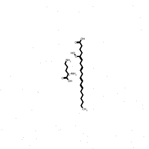 CCCCCCC=CC=CCC=CCC=C(CCCC(=O)O)OO.NCCC[C@H](N)C(=O)O